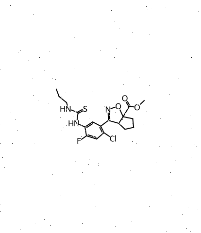 CCCNC(=S)Nc1cc(C2=NOC3(C(=O)OC)CCCC23)c(Cl)cc1F